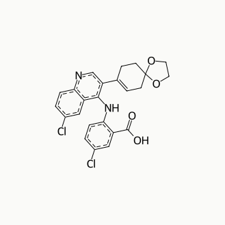 O=C(O)c1cc(Cl)ccc1Nc1c(C2=CCC3(CC2)OCCO3)cnc2ccc(Cl)cc12